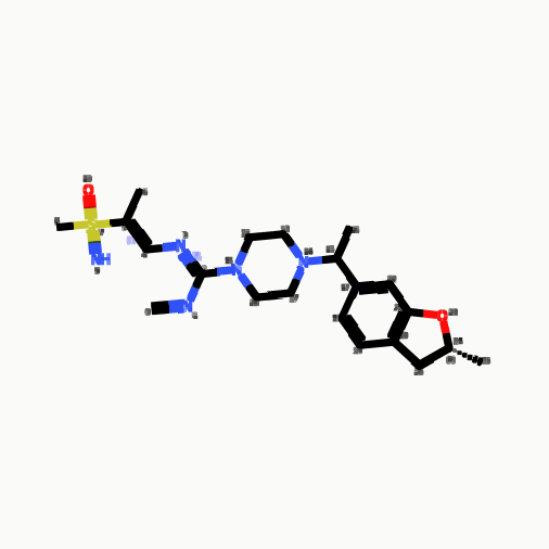 C=N/C(=N\C=C(/C)S(C)(=N)=O)N1CCN(C(C)c2ccc3c(c2)O[C@H](C)C3)CC1